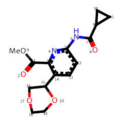 COC(=O)c1nc(NC(=O)C2CC2)ccc1C1COCCO1